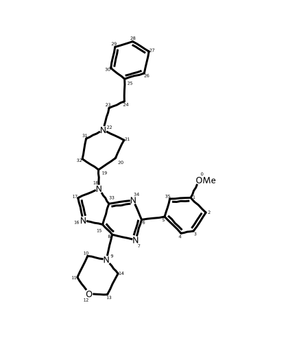 COc1cccc(-c2nc(N3CCOCC3)c3ncn(C4CCN(CCc5ccccc5)CC4)c3n2)c1